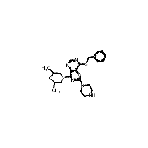 CC1CN(c2nc(N3CCNCC3)nc3c(SCc4ccccc4)ncnc23)CC(C)O1